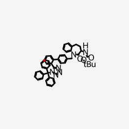 CC(C)(C)OC(=O)NC1CCc2ccccc2N(Cc2ccc(-c3ccccc3-c3nnnn3C(c3ccccc3)(c3ccccc3)c3ccccc3)cc2)C1=O